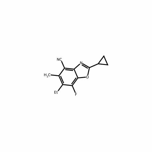 CCc1c(C)c(C#N)c2nc(C3CC3)oc2c1F